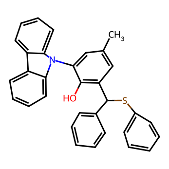 Cc1cc(C(Sc2ccccc2)c2ccccc2)c(O)c(-n2c3ccccc3c3ccccc32)c1